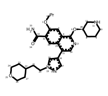 CC(C)Oc1cc2c(O[C@@H]3CCCNC3)ncc(-c3cnn(CCC4CCOCC4)c3)c2cc1C(N)=O